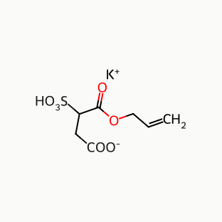 C=CCOC(=O)C(CC(=O)[O-])S(=O)(=O)O.[K+]